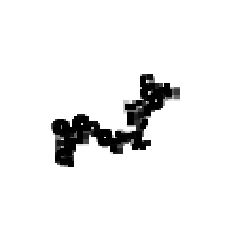 CC(=O)N(CCCNC[C@H](O)c1ccc(O)c2[nH]c(=O)ccc12)CCOC(=O)c1ccc(COc2cccc([C@@H](NC(=O)O[C@H]3CN4CCC3CC4)c3ccccc3)c2)cc1